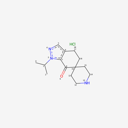 CC(C)n1ncc2c1C(=O)C1(CCNCC1)CC2.Cl